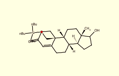 CCCC[Si](CCCC)(CCCC)OC[C@]12CCC(=O)C=C1CC[C@@H]1[C@H]2CC[C@]2(C)C(O)CC[C@@H]12